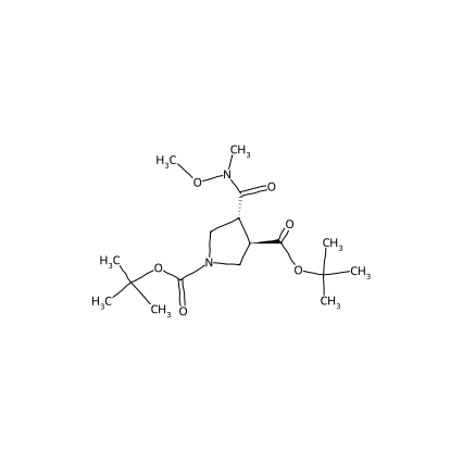 CON(C)C(=O)[C@H]1CN(C(=O)OC(C)(C)C)C[C@@H]1C(=O)OC(C)(C)C